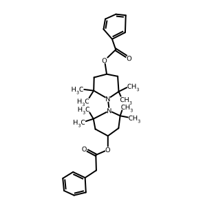 CC1(C)CC(OC(=O)Cc2ccccc2)CC(C)(C)N1N1C(C)(C)CC(OC(=O)c2ccccc2)CC1(C)C